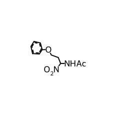 CC(=O)NC(CCOc1ccccc1)[N+](=O)[O-]